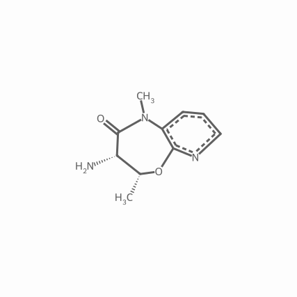 C[C@H]1Oc2ncccc2N(C)C(=O)[C@H]1N